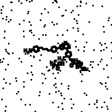 Cc1cc(-c2ncnn3cc(-c4ccc(CCCCc5ccc(N)cc5)cc4)cc23)ccc1CNC(=O)c1noc(C(C)(C)C)n1.O=C(O)C(F)(F)F